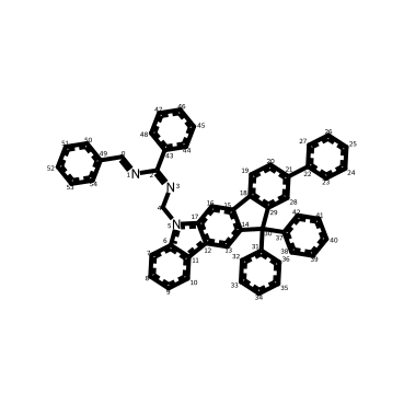 C(=N\C(=N/Cn1c2ccccc2c2cc3c(cc21)-c1ccc(-c2ccccc2)cc1C3(c1ccccc1)c1ccccc1)c1ccccc1)/c1ccccc1